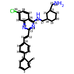 Cc1ccccc1-c1ccc(C=Cc2nc(NCC3CCCC(CN)C3)c3ccc(Cl)cc3n2)cc1